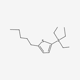 CCCCCc1ccc(S(CC)(CC)CC)s1